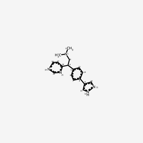 CN(C)CC(c1ccc(-c2cn[nH]c2)cc1)c1ccncn1